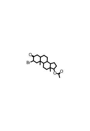 CC(=O)OC1CCC2C3CCC4CC(=O)C(Br)CC4(C)C3CCC12C